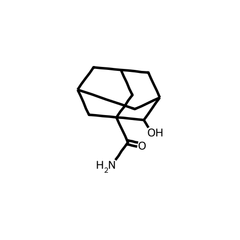 NC(=O)C12CC3CC(CC(C3)C1O)C2